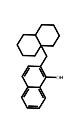 Oc1c(CC23CCCCC2CCCC3)ccc2ccccc12